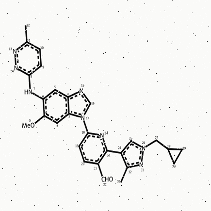 COc1cc2c(cc1Nc1ccc(C)nn1)ncn2-c1ccc(C=O)c(-c2cn(CC3CC3)nc2C)n1